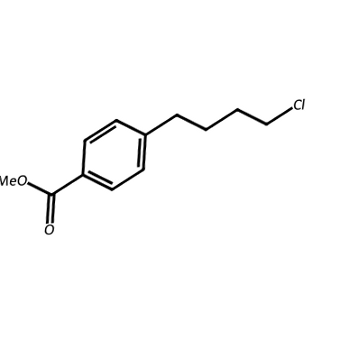 COC(=O)c1ccc(CCCCCl)cc1